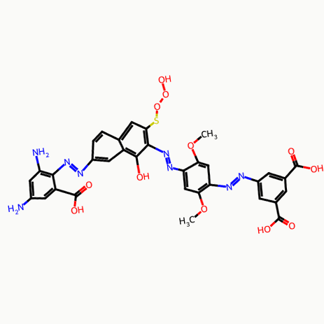 COc1cc(N=Nc2c(SOOO)cc3ccc(N=Nc4c(N)cc(N)cc4C(=O)O)cc3c2O)c(OC)cc1N=Nc1cc(C(=O)O)cc(C(=O)O)c1